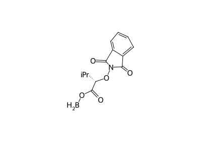 BOC(=O)[C@@H](ON1C(=O)c2ccccc2C1=O)C(C)C